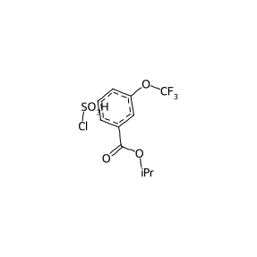 CC(C)OC(=O)c1cccc(OC(F)(F)F)c1.O=S(=O)(O)Cl